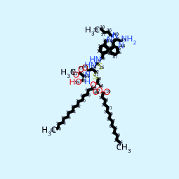 CCCCCCCCCCCCCCCC(=O)OC[C@H](CSCC(NC(=S)NCc1ccc(Cn2c(CCCC)nc3c(N)nc4ccccc4c32)cc1)C(=O)N[C@@H](CO)C(=O)OC)OC(=O)CCCCCCCCCCCCCCC